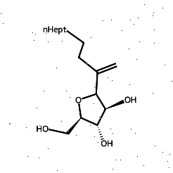 C=C(CCCCCCCCC)C1O[C@H](CO)[C@@H](O)[C@@H]1O